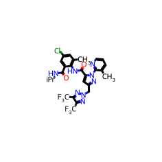 Cc1cccnc1-n1nc(Cn2nc(C(F)(F)F)c(C(F)(F)F)n2)cc1C(=O)Nc1c(C)cc(Cl)cc1C(=O)NC(C)C